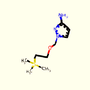 CS(C)(C)CCOCn1ccc(N)n1